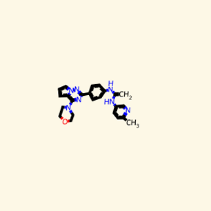 C=C(Nc1ccc(-c2nc(N3CCOCC3)c3cccn3n2)cc1)Nc1ccc(C)nc1